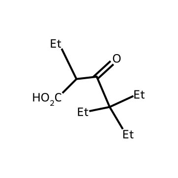 CCC(C(=O)O)C(=O)C(CC)(CC)CC